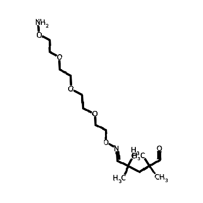 CC(C)(C=O)CC(C)(C)/C=N/OCCOCCOCCOCCON